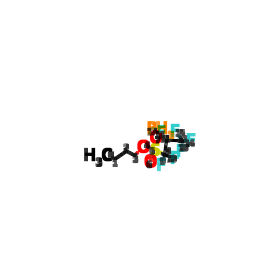 CCCCOS(=O)(=O)C(F)(F)C(F)C(F)(F)F.P